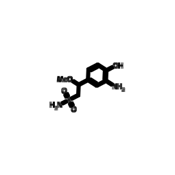 COC(CS(N)(=O)=O)c1ccc(O)c(N)c1